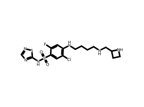 O=S(=O)(Nc1ncns1)c1cc(Cl)c(NCCCCNCC2CCN2)cc1F